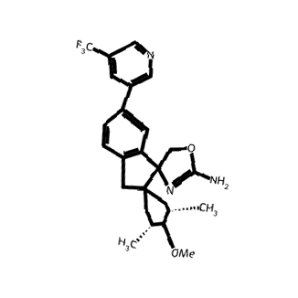 COC1[C@H](C)CC2(Cc3ccc(-c4cncc(C(F)(F)F)c4)cc3C23COC(N)=N3)C[C@@H]1C